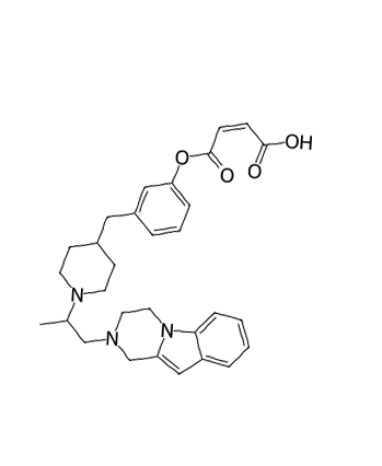 CC(CN1CCn2c(cc3ccccc32)C1)N1CCC(Cc2cccc(OC(=O)/C=C\C(=O)O)c2)CC1